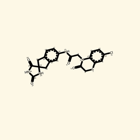 O=C(CN1C(=O)CSc2cc(Cl)ccc21)Nc1ccc2c(c1)CC1(C2)NC(=O)NC1=O